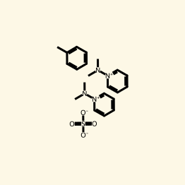 CN(C)[n+]1ccccc1.CN(C)[n+]1ccccc1.Cc1ccccc1.O=S(=O)([O-])[O-]